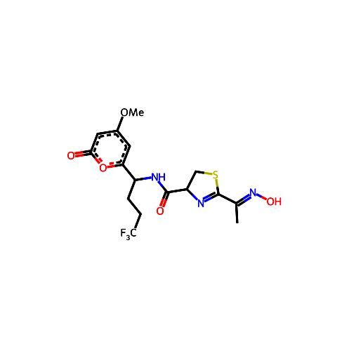 COc1cc(C(CCC(F)(F)F)NC(=O)C2CSC(/C(C)=N/O)=N2)oc(=O)c1